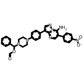 Nc1c(-c2ccc([N+](=O)[O-])cc2)cnc2c(-c3ccc(N4CCN(C(OC=O)c5ccccc5)CC4)cc3)cnn12